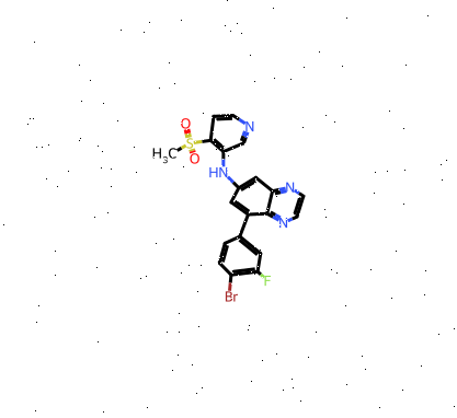 CS(=O)(=O)c1ccncc1Nc1cc(-c2ccc(Br)c(F)c2)c2nccnc2c1